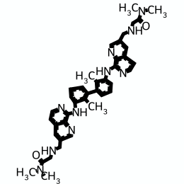 Cc1c(Nc2nccc3cc(CNCC(=O)N(C)C)cnc23)cccc1-c1cccc(Nc2nccc3cc(CNCC(=O)N(C)C)cnc23)c1C